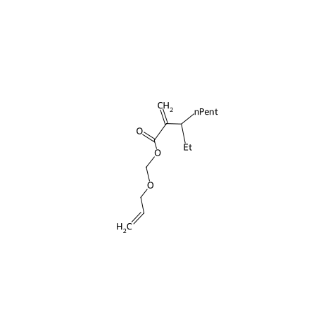 C=CCOCOC(=O)C(=C)C(CC)CCCCC